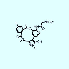 CC(=O)NCC(=O)Nc1ncc2cc1OC(C)c1cc(F)ccc1C(=O)N(C)Cc1nn(C)c(C#N)c1-2